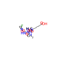 C=C[C@@H]1C[C@]1(NC(=O)[C@@H]1C[C@@H](OC(=O)N2Cc3cccc(F)c3C2)CN1)C(=O)NS(=O)(=O)N(C)CCCCCCCCCCCC(=O)O